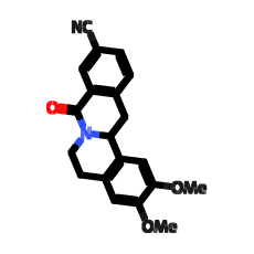 COc1cc2c(cc1OC)C1Cc3ccc(C#N)cc3C(=O)N1CC2